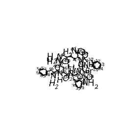 NCCCC[C@H](NC(=O)[C@H](Cc1ccccc1)NC(=O)[C@@H](NC(=O)[C@H](Cc1ccccc1)NC(=O)[C@H](CCC(N)=O)NC(=O)[C@@H](N)Cc1ccccc1)C(Br)CC(N)=O)C(N)=O